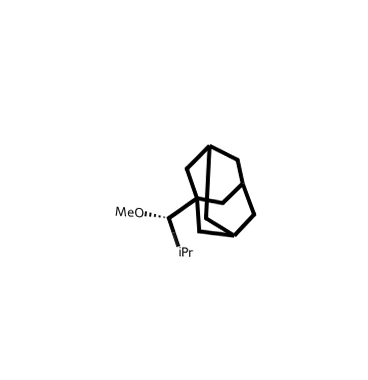 CO[C@@H](C(C)C)C12CC3CC(CC(C3)C1)C2